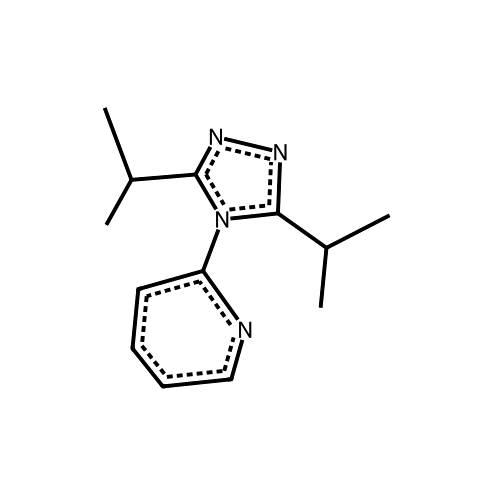 CC(C)c1nnc(C(C)C)n1-c1ccccn1